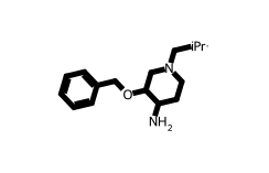 C[C](C)CN1CCC(N)C(OCc2ccccc2)C1